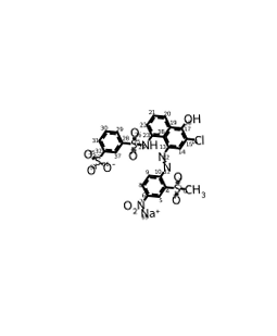 CS(=O)(=O)c1cc([N+](=O)[O-])ccc1N=Nc1cc(Cl)c(O)c2cccc(NS(=O)(=O)c3cccc(S(=O)(=O)[O-])c3)c12.[Na+]